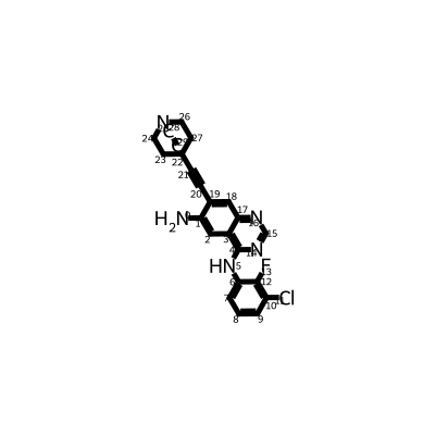 Nc1cc2c(Nc3cccc(Cl)c3F)ncnc2cc1C#CC12CCN(CC1)CC2